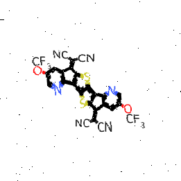 N#CC(C#N)=C1c2cc(OC(F)(F)F)cnc2-c2c1sc1c3c(sc21)C(=C(C#N)C#N)c1cc(OC(F)(F)F)cnc1-3